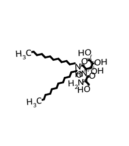 CCCCCCCCCCCCN(C(=O)CCCCCCCCCCC)[C@@H]1O[C@H](CO)[C@@H](O)[C@H](O)[C@H]1NC(=O)[C@@H](N)CO